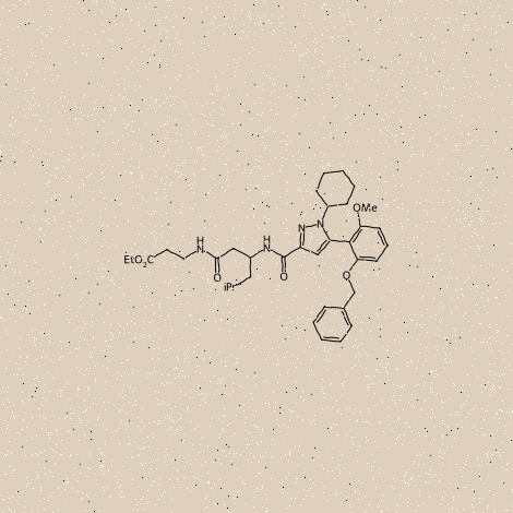 CCOC(=O)CCNC(=O)CC(CC(C)C)NC(=O)c1cc(-c2c(OC)cccc2OCc2ccccc2)n(C2CCCCC2)n1